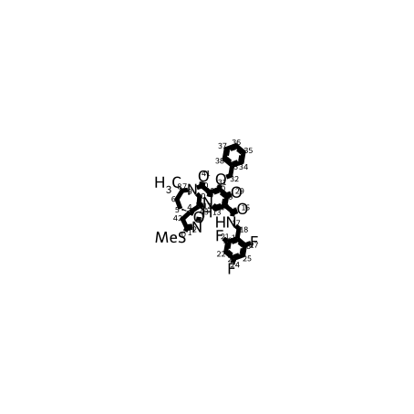 CSC1=NO[C@@]2(CC[C@H](C)N3C[C@H]2n2cc(C(=O)NCc4c(F)cc(F)cc4F)c(=O)c(OCc4ccccc4)c2C3=O)C1